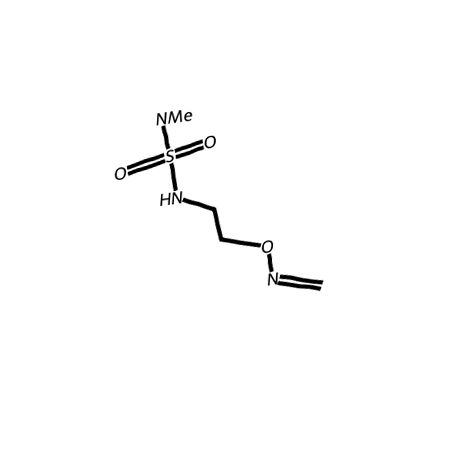 C=NOCCNS(=O)(=O)NC